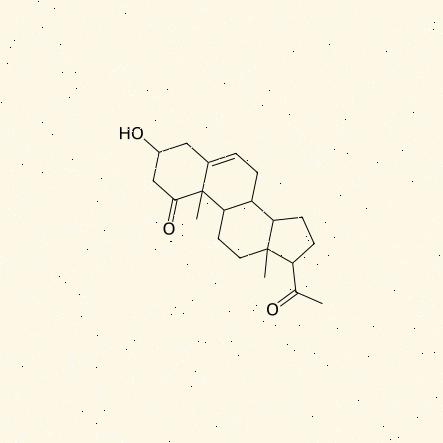 CC(=O)C1CCC2C3CC=C4CC(O)CC(=O)C4(C)C3CCC12C